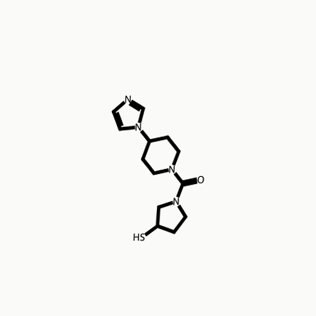 O=C(N1CCC(n2ccnc2)CC1)N1CCC(S)C1